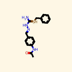 CC(=O)Nc1ccc(C=NNC(N)=[SH]Cc2ccccc2)cc1